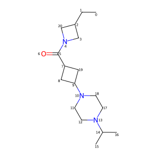 CCC1CN(C(=O)C2CC(N3CCN(C(C)C)CC3)C2)C1